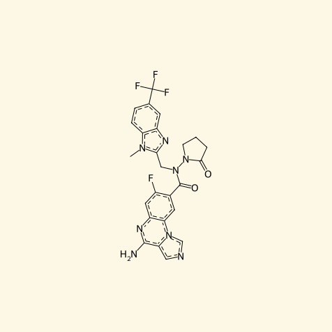 Cn1c(CN(C(=O)c2cc3c(cc2F)nc(N)c2cncn23)N2CCCC2=O)nc2cc(C(F)(F)F)ccc21